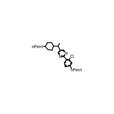 CCCCCc1ccc(-c2ncc(C(C)C3CCC(CCCCC)CC3)cn2)c(Cl)c1